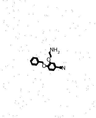 N#Cc1ccc(OCc2ccccc2)c(OCCN)c1